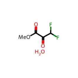 COC(=O)C(=O)C(F)F.O